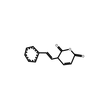 O=C1C=CC(C=Cc2ccccc2)C(=O)O1